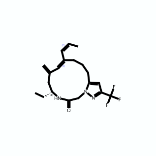 C=C1/C=C(\C=C/C)CCCc2cc(C(F)(F)F)nn2CC(=O)N[C@H](CC)C1